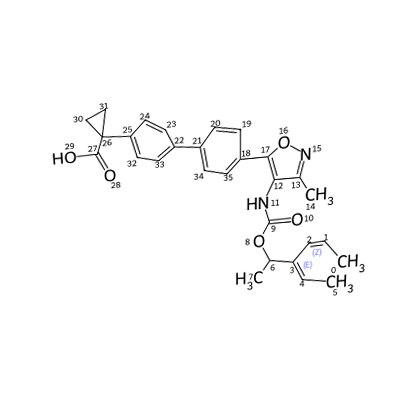 C/C=C\C(=C/C)C(C)OC(=O)Nc1c(C)noc1-c1ccc(-c2ccc(C3(C(=O)O)CC3)cc2)cc1